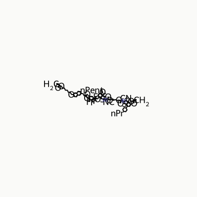 [C-]#[N+]/C(C(=O)OCCCCOC(=O)/C(C#N)=C1/Sc2c(OC(=O)C=C)ccc(C3CCC(CCC)CC3)c2S1)=C1/Sc2c(OCCCCC)ccc(OC(F)(F)c3ccc(OC(=O)CCc4ccc5cc(OCCCCCCOC(=O)C=C)ccc5c4)c(F)c3F)c2S1